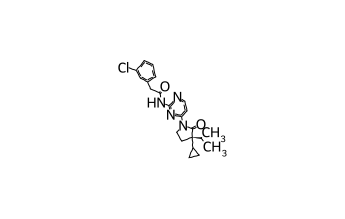 CC(C)[C@@]1(C2CC2)CCN(c2ccnc(NC(=O)Cc3cccc(Cl)c3)n2)C1=O